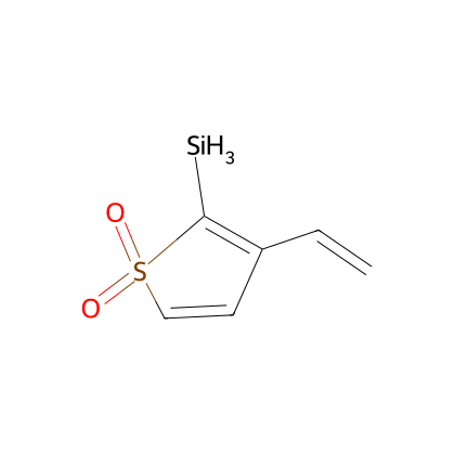 C=CC1=C([SiH3])S(=O)(=O)C=C1